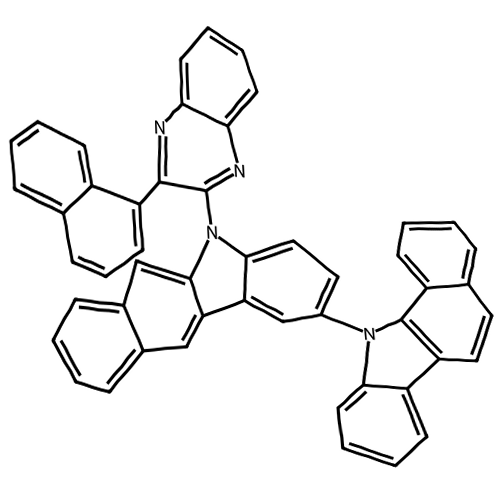 c1ccc2cc3c(cc2c1)c1cc(-n2c4ccccc4c4ccc5ccccc5c42)ccc1n3-c1nc2ccccc2nc1-c1cccc2ccccc12